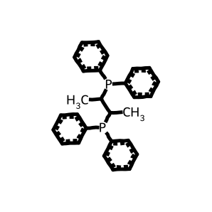 CC(C(C)P(c1ccccc1)c1ccccc1)P(c1ccccc1)c1ccccc1